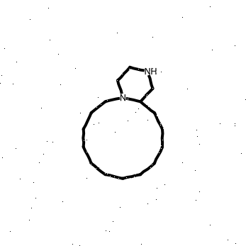 C1CCCCCCN2CCNCC2CCCCC1